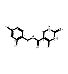 CC1=C(C(=O)OCc2ccc(Cl)cc2Cl)CNC(=S)N1